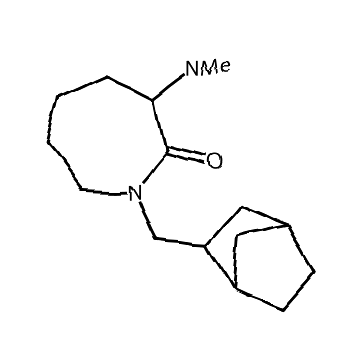 CNC1CCCCN(CC2CC3CCC2C3)C1=O